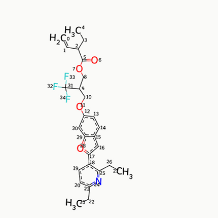 C=CC(CC)C(=O)OCC(COc1ccc2cc(-c3ccc(CC)nc3CC)oc2c1)C(F)(F)F